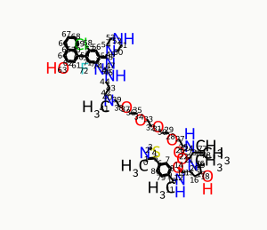 Cc1ncsc1-c1ccc([C@H](C)NC(=O)[C@@H]2C[C@@H](O)CN2C(=O)[C@@H](NC(=O)COCCOCCOCCOCCN(C)CCCNc2nc(N3CCNCC3)c3cc(Cl)c(-c4cc(O)cc5ccccc45)c(F)c3n2)C(C)(C)C)cc1